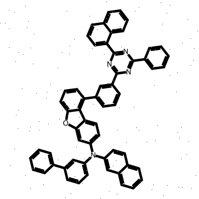 c1ccc(-c2cccc(N(c3ccc4ccccc4c3)c3ccc4c(c3)oc3cccc(-c5cccc(-c6nc(-c7ccccc7)nc(-c7cccc8ccccc78)n6)c5)c34)c2)cc1